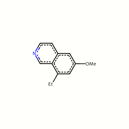 CCc1cc(OC)cc2ccncc12